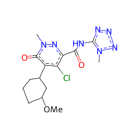 COC1CCCC(c2c(Cl)c(C(=O)Nc3nnnn3C)nn(C)c2=O)C1